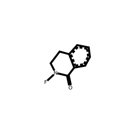 O=C1c2ccccc2CCN1F